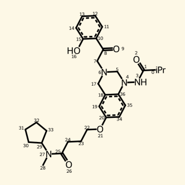 CC(C)C(=O)NN1CN(CC(=O)c2ccccc2O)Cc2cc(OCCCC(=O)N(C)C3CCCC3)ccc21